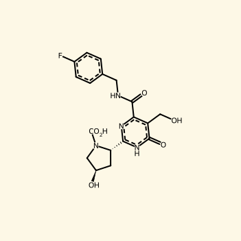 O=C(NCc1ccc(F)cc1)c1nc([C@@H]2C[C@@H](O)CN2C(=O)O)[nH]c(=O)c1CO